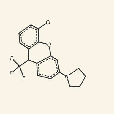 FC(F)(F)C1c2ccc(N3CCCC3)cc2Oc2c(Cl)cccc21